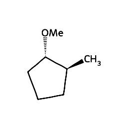 CO[C@H]1CCC[C@@H]1C